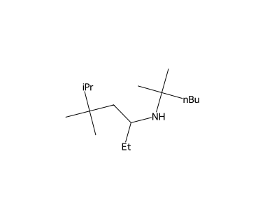 CCCCC(C)(C)NC(CC)CC(C)(C)C(C)C